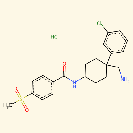 CS(=O)(=O)c1ccc(C(=O)NC2CCC(CN)(c3cccc(Cl)c3)CC2)cc1.Cl